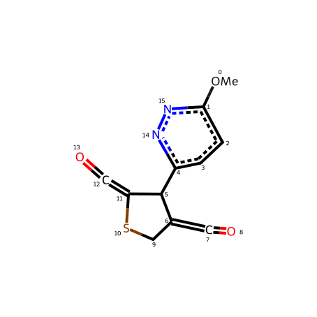 COc1ccc(C2C(=C=O)CSC2=C=O)nn1